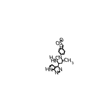 C[C@H](CC(=N)c1ncnc2[nH]ccc12)N(C)c1ccc(C[SH](=O)=O)cc1